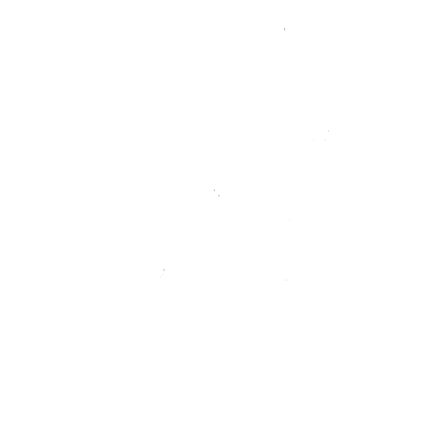 [CH2]c1ccc([CH]c2ccccc2)cc1